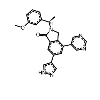 COc1cccc([C@@H](C)N2Cc3c(cc(-c4cn[nH]c4)cc3-c3cncnc3)C2=O)c1